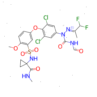 CNC(=O)C1(NS(=O)(=O)c2cc(Oc3c(Cl)cc(N(/N=C(\C)C(F)F)C(=O)NC=O)cc3Cl)ccc2OC)CC1